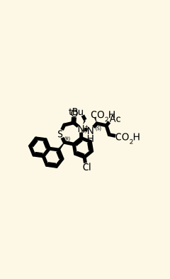 CC(=O)C(CC(=O)O)[C@H](N[N@+]1(CC(C)(C)C)C(=O)CS[C@H](c2cccc3ccccc23)c2cc(Cl)ccc21)C(=O)O